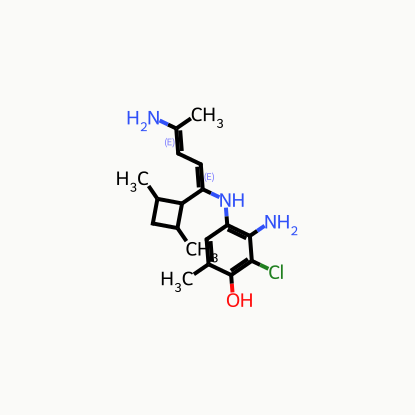 C/C(N)=C\C=C(\Nc1cc(C)c(O)c(Cl)c1N)C1C(C)CC1C